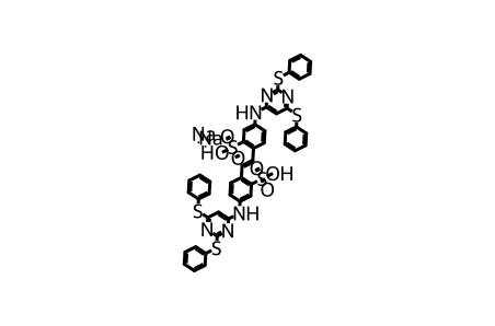 O=S(=O)(O)c1cc(Nc2cc(Sc3ccccc3)nc(Sc3ccccc3)n2)ccc1C=Cc1ccc(Nc2cc(Sc3ccccc3)nc(Sc3ccccc3)n2)cc1S(=O)(=O)O.[Na].[Na]